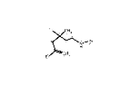 C=C(CC)CC(C)(I)CCNC(C)C